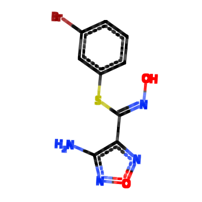 Nc1nonc1/C(=N/O)Sc1cccc(Br)c1